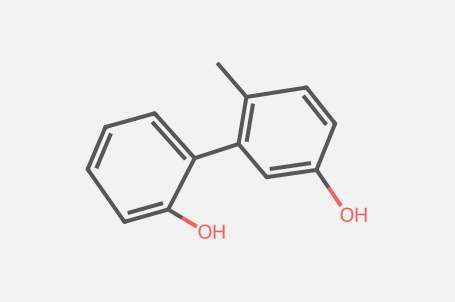 Cc1ccc(O)cc1-c1ccccc1O